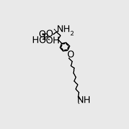 CNCCCCCCCCCCCOc1ccc(CC[C@@](C)(N)COP(=O)(O)O)cc1